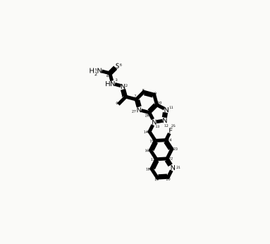 C/C(=N\NC(N)=S)c1ccc2nnn(Cc3cc4cccnc4cc3F)c2n1